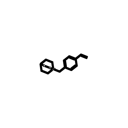 C=Cc1ccc(C[N+]23CCC(CC2)CC3)cc1